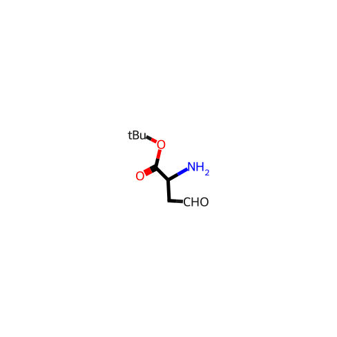 CC(C)(C)OC(=O)C(N)CC=O